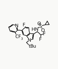 CC(C)(C)Cn1cc([C@H](NS(=O)(=O)C2CC2)C(F)F)c2cc(F)c(-c3ncccc3C(F)(F)F)cc21